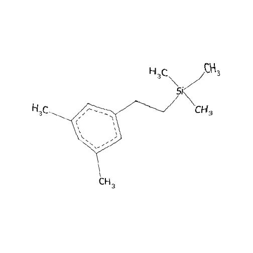 Cc1cc(C)cc(CC[Si](C)(C)C)c1